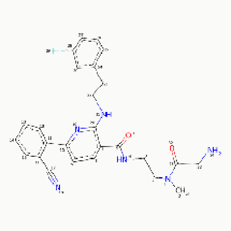 CN(CCNC(=O)c1ccc(-c2ccccc2C#N)nc1NCCc1cccc(F)c1)C(=O)CN